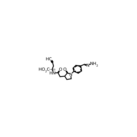 C#CC[C@H](NC(=O)CC1CCN(c2ccc(C=NN)cc2)C1=O)C(=O)O